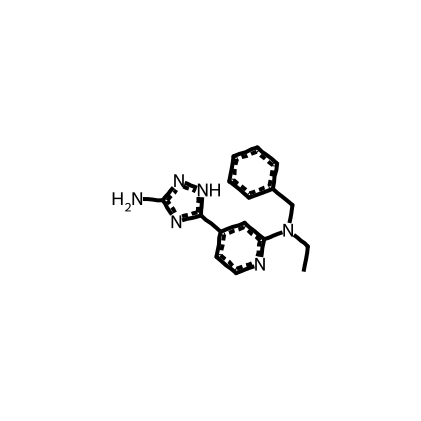 CCN(Cc1ccccc1)c1cc(-c2nc(N)n[nH]2)ccn1